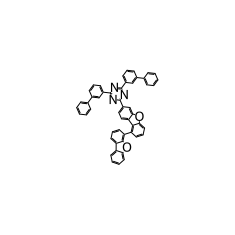 c1ccc(-c2cccc(-c3nc(-c4cccc(-c5ccccc5)c4)nc(-c4ccc5c(c4)oc4cccc(-c6cccc7c6oc6ccccc67)c45)n3)c2)cc1